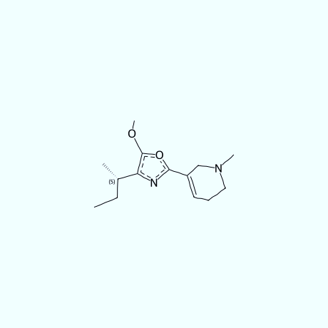 CC[C@H](C)c1nc(C2=CCCN(C)C2)oc1OC